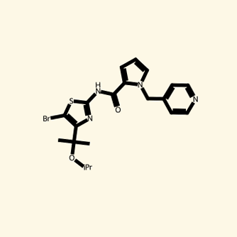 CC(C)OC(C)(C)c1nc(NC(=O)c2cccn2Cc2ccncc2)sc1Br